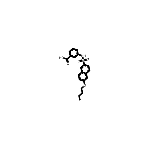 CCCCOc1ccc2cc(S(=O)(=O)Nc3cccc(C(=O)O)c3)ccc2c1